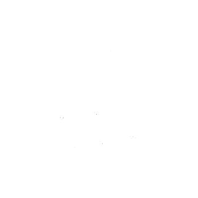 COC1=NC(C(C)C)C(OC)=NC1Cc1cc(F)c(Br)cc1F